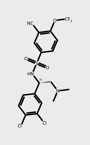 CN(C)C[C@@H](NS(=O)(=O)c1ccc(OC(F)(F)F)c(C#N)c1)c1ccc(Cl)c(Cl)c1